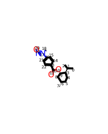 CC(C)[C@H]1CC[C@H](C)C[C@@H]1OC(=O)c1ccc(N(C)N=O)cc1